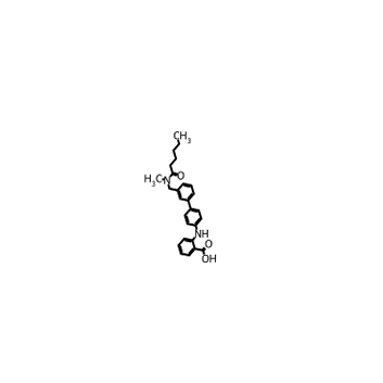 CCCCCC(=O)N(C)Cc1cccc(-c2ccc(Nc3ccccc3C(=O)O)cc2)c1